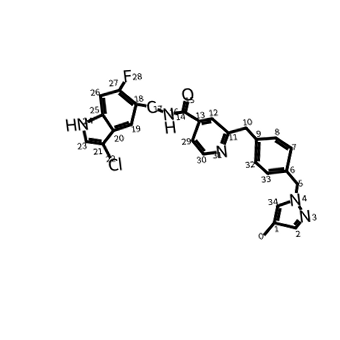 Cc1cnn(Cc2ccc(Cc3cc(C(=O)NCc4cc5c(Cl)c[nH]c5cc4F)ccn3)cc2)c1